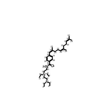 CCN(CC)CC[N+](CC)(CC)CCNC(=O)c1ccc(C=C(C)CCC=C(C)CCC=C(C)C)cc1